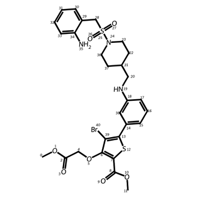 COC(=O)COc1c(C(=O)OC)sc(-c2cccc(NCC3CCN(S(=O)(=O)Cc4ccccc4N)CC3)c2)c1Br